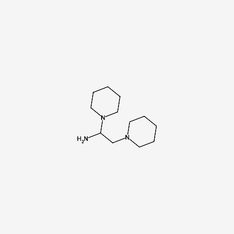 NC(CN1CCCCC1)N1CCCCC1